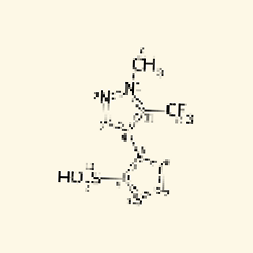 Cn1ncc(-c2ccsc2S(=O)(=O)O)c1C(F)(F)F